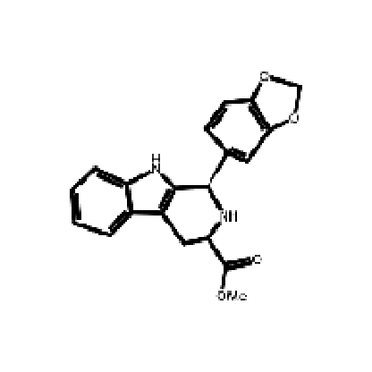 COC(=O)C1Cc2c([nH]c3ccccc23)[C@@H](c2ccc3c(c2)OCO3)N1